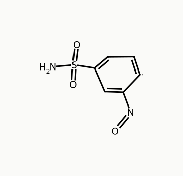 NS(=O)(=O)c1cc[c]c(N=O)c1